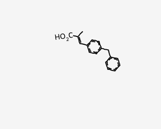 C/C(=C\c1ccc(Cc2ccccc2)cc1)C(=O)O